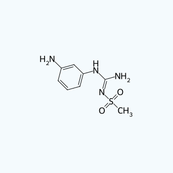 CS(=O)(=O)N=C(N)Nc1cccc(N)c1